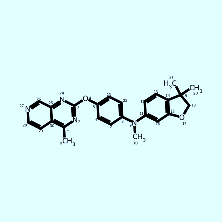 Cc1nc(Oc2ccc(N(C)c3ccc4c(c3)OCC4(C)C)cc2)nc2cnccc12